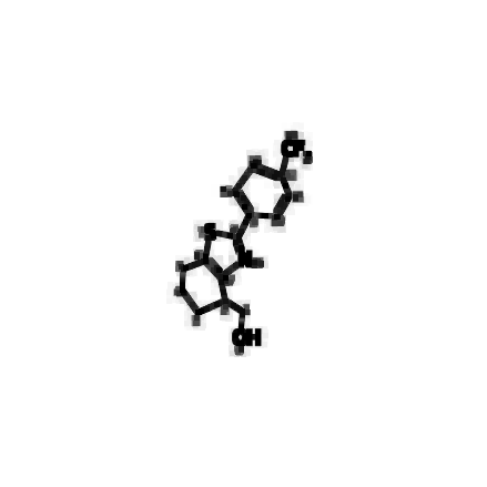 OCC1CCCc2sc(-c3ccc(C(F)(F)F)cc3)nc21